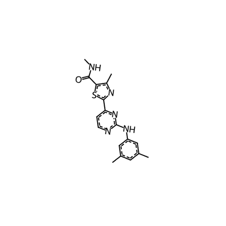 CNC(=O)c1sc(-c2ccnc(Nc3cc(C)cc(C)c3)n2)nc1C